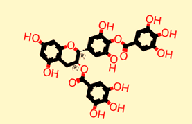 O=C(Oc1c(O)cc([C@H]2Oc3cc(O)cc(O)c3C[C@H]2OC(=O)c2cc(O)c(O)c(O)c2)cc1O)c1cc(O)c(O)c(O)c1